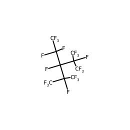 FC(F)(F)C(F)(F)C(F)(C(F)(C(F)(F)F)C(F)(F)F)C(F)(C(F)(F)F)C(F)(F)F